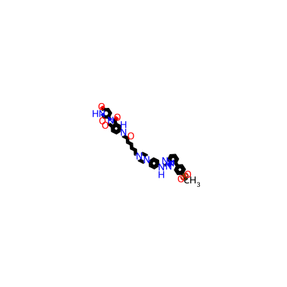 CS(=O)(=O)c1ccc(-c2cccc3nc(Nc4ccc(N5CCN(CCCCCC(=O)CNc6ccc7c(c6)C(=O)N(C6CCC(=O)NC6=O)C7=O)CC5)cc4)nn23)cc1